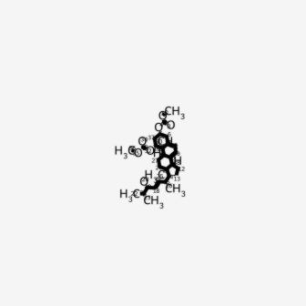 COC(=O)O[C@@H]1CC2=CC=C3[C@@H]4CC[C@H]([C@H](C)/C=C/C(=O)C(C)C)[C@@]4(C)CC[C@@H]3[C@@]2(C)[C@@H](OC(=O)OC)C1